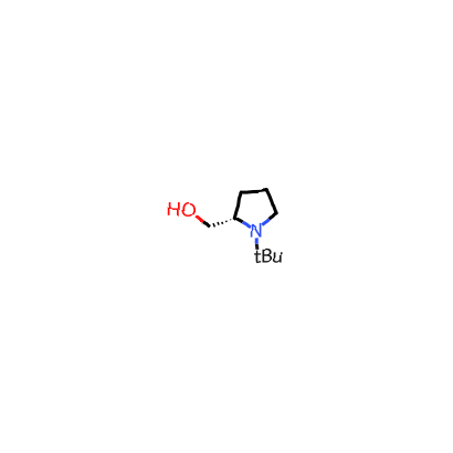 CC(C)(C)N1CCC[C@H]1CO